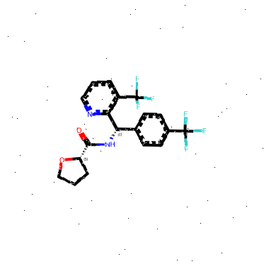 O=C(N[C@@H](c1ccc(C(F)(F)F)cc1)c1ncccc1C(F)(F)F)[C@@H]1CCCO1